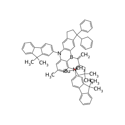 C=C(B1c2cc3c(cc2N(c2ccc4c(c2)C(C)(C)c2ccccc2-4)c2cc(C)cc(N(C)c4ccc5c(c4)C(C)(C)c4ccccc4-5)c21)CCC3(c1ccccc1)C1C=CC=CC1)C1=C(C(C)CC)CC(C)(C)C1